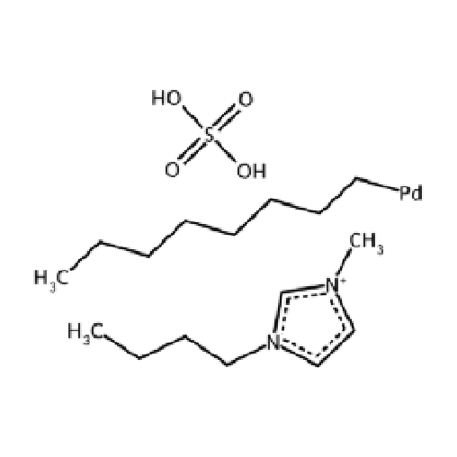 CCCCCCC[CH2][Pd].CCCCn1cc[n+](C)c1.O=S(=O)(O)O